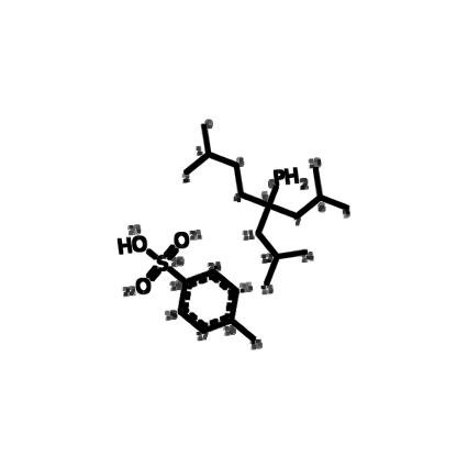 CC(C)CCC(P)(CC(C)C)CC(C)C.Cc1ccc(S(=O)(=O)O)cc1